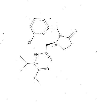 COC(=O)[C@@H](NC(=O)C[C@@H]1CCC(=O)N1Cc1cccc(Cl)c1)C(C)C